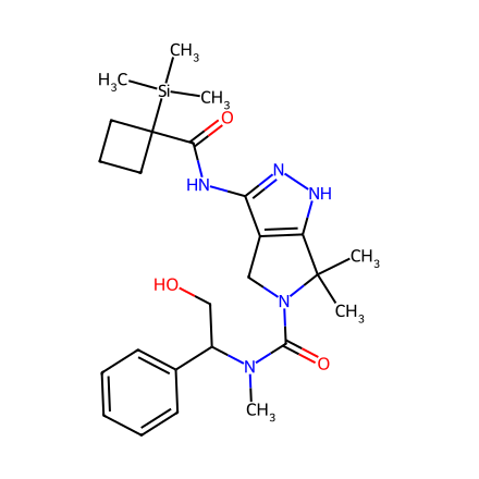 CN(C(=O)N1Cc2c(NC(=O)C3([Si](C)(C)C)CCC3)n[nH]c2C1(C)C)C(CO)c1ccccc1